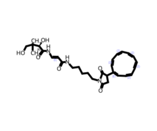 CC(C)(CO)[C@@H](O)C(=O)N/C=C/C(=O)NCCCCCN1C(=O)CC(C2=C/C=C\C=C/C=C\C=C/C=C\2)C1=O